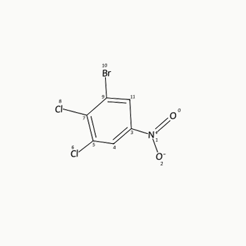 O=[N+]([O-])c1cc(Cl)c(Cl)c(Br)c1